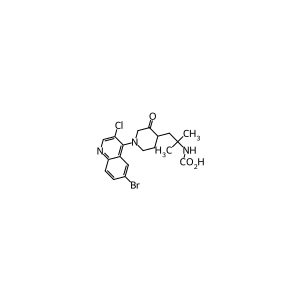 CC(C)(CC1CCN(c2c(Cl)cnc3ccc(Br)cc23)CC1=O)NC(=O)O